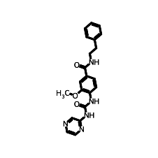 COc1cc(C(=O)NCCc2ccccc2)ccc1NC(=O)Nc1cnccn1